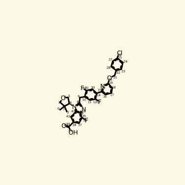 CC1(C)COC[C@H]1n1c(Cc2cc(F)c(-c3cccc(OCc4ccc(Cl)cc4)n3)cc2F)nc2c(F)cc(C(=O)O)cc21